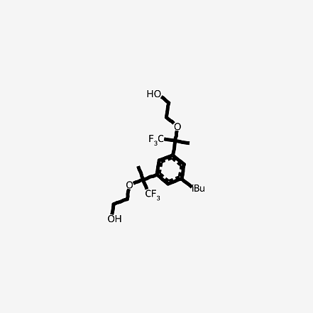 CCC(C)c1cc(C(C)(OCCO)C(F)(F)F)cc(C(C)(OCCO)C(F)(F)F)c1